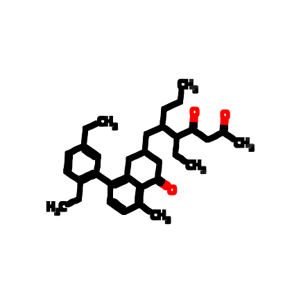 CCCC(CC1CC(=O)c2c(C)ccc(-c3cc(CC)ccc3CC)c2C1)C(CC)C(=O)CC(C)=O